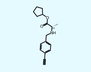 C#Cc1ccc(CN[C@@H](C)C(=O)OC2CCCC2)cc1